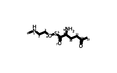 CNCCOSC(=O)C(N)CCC(C)=O